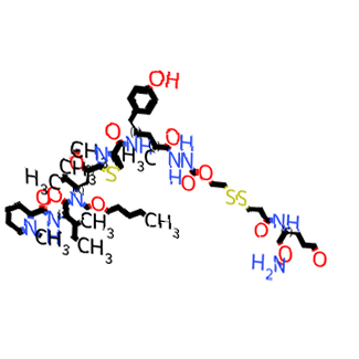 CCCCCOCN(C(=O)[C@@H](NC(=O)C1CCCCN1C)C(C)CC)[C@H](C[C@@H](OC)c1nc(C(=O)N[C@@H](Cc2ccc(O)cc2)C[C@H](C)C(=O)NNC(=O)OCCSSCCC(=O)N[C@@H](CCC=O)CON)cs1)C(C)C